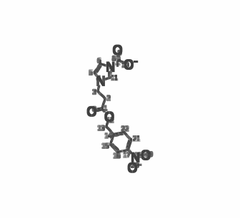 O=C(CCn1cc[n+](C(=O)[O-])c1)OCc1ccc([N+](=O)[O-])cc1